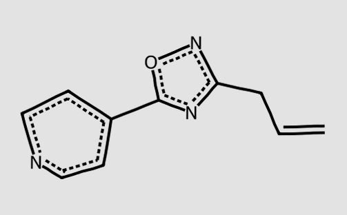 C=CCc1noc(-c2ccncc2)n1